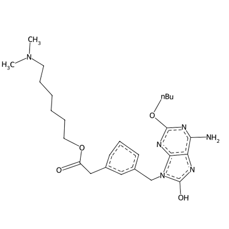 CCCCOc1nc(N)c2nc(O)n(Cc3cccc(CC(=O)OCCCCCCN(C)C)c3)c2n1